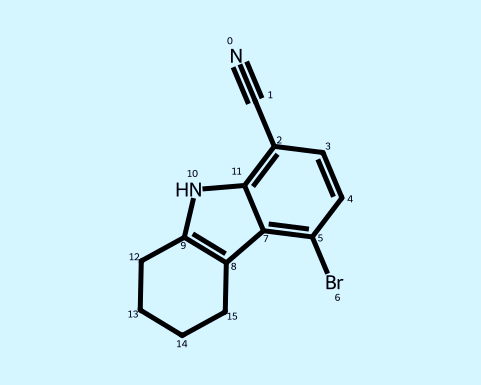 N#Cc1ccc(Br)c2c3c([nH]c12)CCCC3